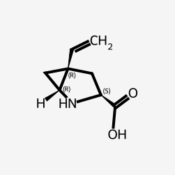 C=C[C@@]12C[C@@H](C(=O)O)N[C@@H]1C2